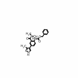 Cc1n[nH]cc1-c1ccc(NC(=O)OCc2ccccc2)c(C(=O)N(C)C)c1